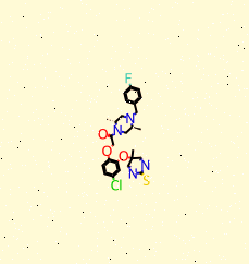 C[C@@H]1CN(Cc2ccc(F)cc2)[C@@H](C)CN1C(=O)COc1ccc(Cl)cc1OC1(C)C=NC(=S)N=C1